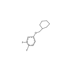 Fc1[c]c(OCC2CCCCC2)ccc1F